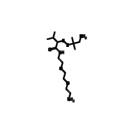 CC(C)C(SSC(C)(C)CN)C(=O)NCCOCCOCCN